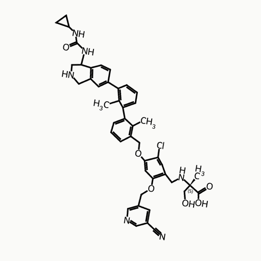 Cc1c(COc2cc(OCc3cncc(C#N)c3)c(CN[C@@](C)(CO)C(=O)O)cc2Cl)cccc1-c1cccc(-c2ccc3c(c2)CNCC3NC(=O)NC2CC2)c1C